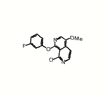 COc1cnc(Oc2cccc(F)c2)c2c(Cl)nccc12